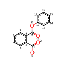 [O]C(=O)c1ccccc1C(=O)Oc1ccccc1